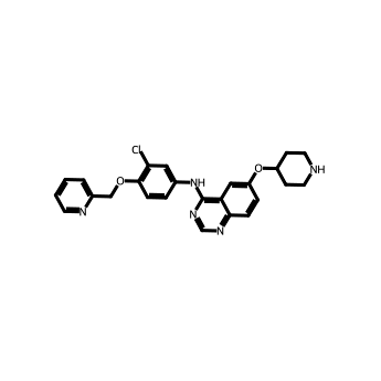 Clc1cc(Nc2ncnc3ccc(OC4CCNCC4)cc23)ccc1OCc1ccccn1